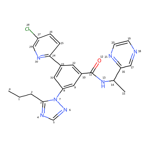 CCCc1ncnn1-c1cc(C(=O)NC(C)c2cnccn2)cc(-c2ccc(Cl)cn2)c1